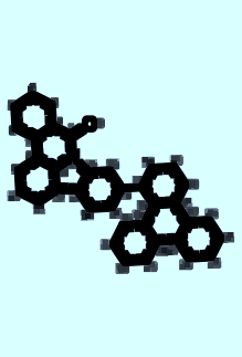 O=c1c2ccccc2c2cccc3c4ccc(-c5cccc6c7ccccc7c7ccccc7c56)cc4n1c23